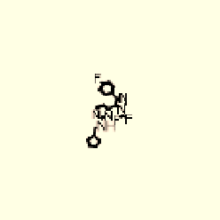 Fc1ccc(-c2ncn(C(F)F)c2-c2ccnc(NCC3CCCC3)n2)cc1